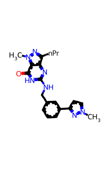 CCCc1nn(C)c2c(=O)[nH]c(NCc3cccc(-c4ccn(C)n4)c3)nc12